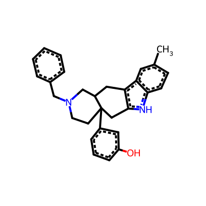 Cc1ccc2[nH]c3c(c2c1)CC1CN(Cc2ccccc2)CCC1(c1cccc(O)c1)C3